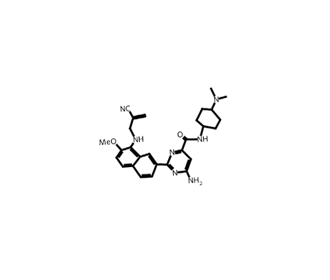 C=C(C#N)CNc1c(OC)ccc2ccc(-c3nc(N)cc(C(=O)NC4CCC(N(C)C)CC4)n3)cc12